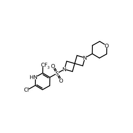 O=S(=O)(C1=C(C(F)(F)F)NC(Cl)=CC1)N1CC2(CN(C3CCOCC3)C2)C1